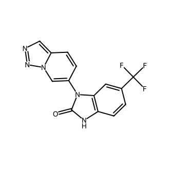 O=c1[nH]c2ccc(C(F)(F)F)cc2n1-c1ccc2cnnn2c1